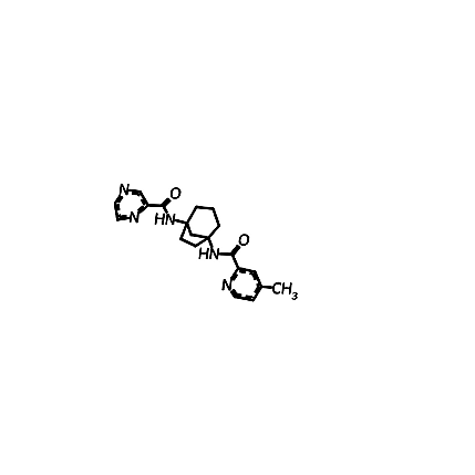 Cc1ccnc(C(=O)NC23CCCC(NC(=O)c4cnccn4)(CC2)C3)c1